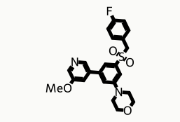 COc1cncc(-c2cc(N3CCOCC3)cc(S(=O)(=O)Cc3ccc(F)cc3)c2)c1